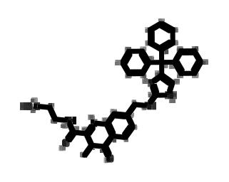 CC1C(=O)c2ccc(CNc3nc(C(c4ccccc4)(c4ccccc4)c4ccccc4)c[nH]3)cc2N=C1C(=O)NCCC(=O)O